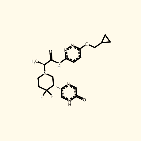 C[C@@H](C(=O)Nc1ccc(OCC2CC2)nn1)N1CCC(F)(F)[C@@H](c2c[nH]c(=O)cn2)C1